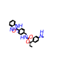 CC[C@@H](OC(=O)NCc1ccc(C(=O)Nc2ccccc2N)cc1)c1ccc(NC)cc1